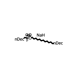 CCCCCCCCCCCCCCCCCCCCCCOS(=O)(=O)C(F)CCCCCCCCCCC.[NaH]